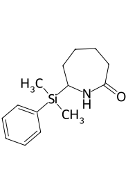 C[Si](C)(c1ccccc1)C1CCCCC(=O)N1